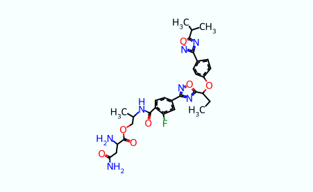 CCC(Oc1ccc(-c2noc(C(C)C)n2)cc1)c1nc(-c2ccc(C(=O)NC(C)COC(=O)C(N)CC(N)=O)c(F)c2)no1